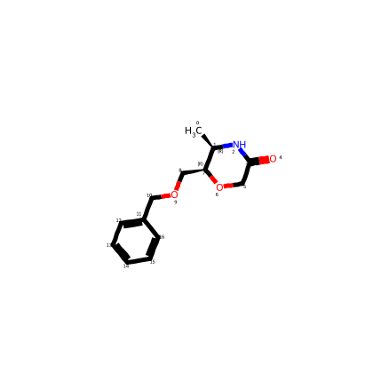 C[C@H]1NC(=O)CO[C@H]1COCc1ccccc1